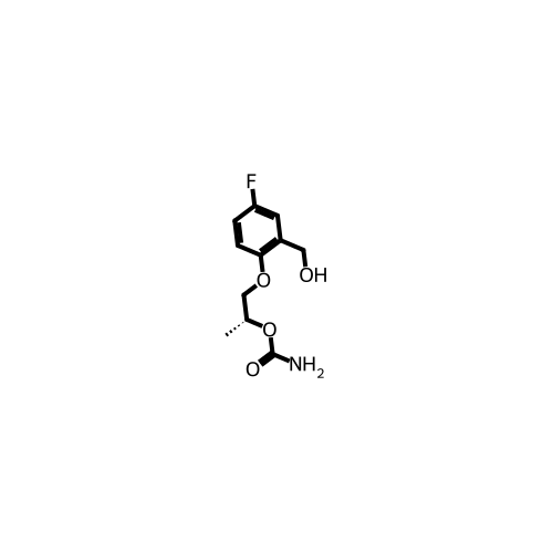 C[C@H](COc1ccc(F)cc1CO)OC(N)=O